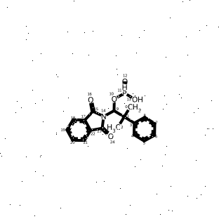 CC(C)(c1ccccc1)C(O[PH](=O)O)N1C(=O)c2ccccc2C1=O